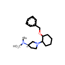 CC(C)(C)N(C(=O)O)[C@@H]1CCN(C2CCCCC2OCc2ccccc2)C1